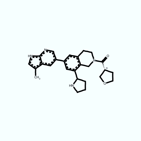 Cc1c[nH]c2ncc(-c3cc4c(c(C5CCCN5)c3)CN(C(=O)[C@@H]3CCOC3)CC4)cc12